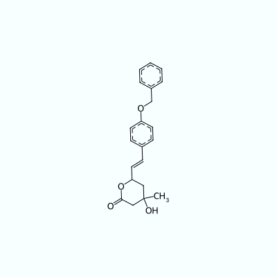 CC1(O)CC(=O)OC(C=Cc2ccc(OCc3ccccc3)cc2)C1